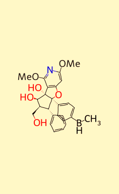 CBc1ccc([C@@]23Oc4cc(OC)nc(OC)c4[C@]2(O)[C@H](O)[C@H](CO)[C@H]3c2ccccc2)cc1